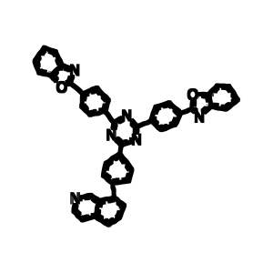 c1cc(-c2ccc(-c3nc(-c4ccc(-c5nc6ccccc6o5)cc4)nc(-c4ccc(-c5nc6ccccc6o5)cc4)n3)cc2)c2cnccc2c1